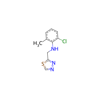 Cc1cccc(Cl)c1NCc1nncs1